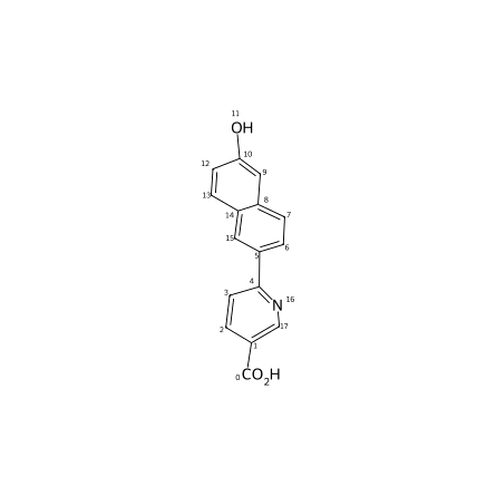 O=C(O)c1ccc(-c2ccc3cc(O)ccc3c2)nc1